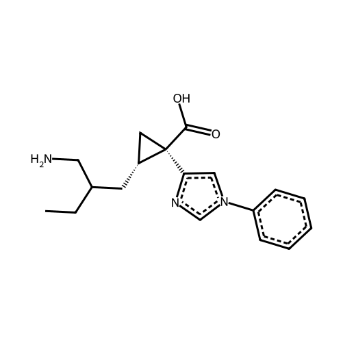 CCC(CN)C[C@@H]1C[C@]1(C(=O)O)c1cn(-c2ccccc2)cn1